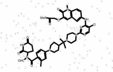 CNC(=O)COc1cc2cc(Nc3nc(N4CCN(C(C)(C)C5CCN(c6ccc(C(=O)N(C=O)C7CCC(=O)NC7=O)c(C)c6)CC5)CC4)ncc3Cl)ccc2n(C)c1=O